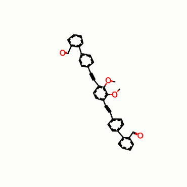 COc1c(C#Cc2ccc(-c3ccccc3C=O)cc2)ccc(C#Cc2ccc(-c3ccccc3C=O)cc2)c1OC